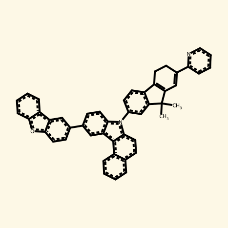 CC1(C)C2=C(CCC(c3ccccn3)=C2)c2ccc(-n3c4ccc(-c5ccc6oc7ccccc7c6c5)cc4c4c5ccccc5ccc43)cc21